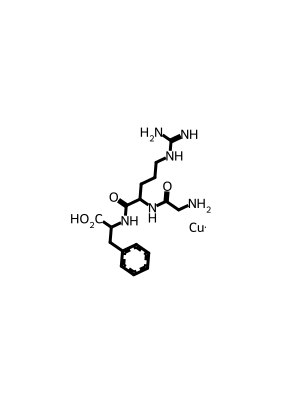 N=C(N)NCCCC(NC(=O)CN)C(=O)NC(Cc1ccccc1)C(=O)O.[Cu]